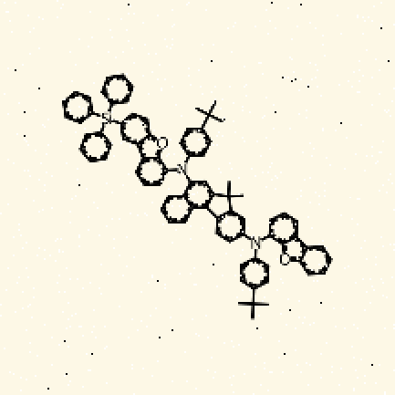 CC(C)(C)c1ccc(N(c2ccc3c(c2)C(C)(C)c2cc(N(c4ccc(C(C)(C)C)cc4)c4cccc5c4oc4ccc([Si](c6ccccc6)(c6ccccc6)c6ccccc6)cc45)c4ccccc4c2-3)c2cccc3c2oc2ccccc23)cc1